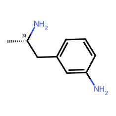 C[C@H](N)Cc1cccc(N)c1